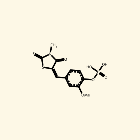 COc1cc(C=C2SC(=S)N(C)C2=O)ccc1OP(=O)(O)O